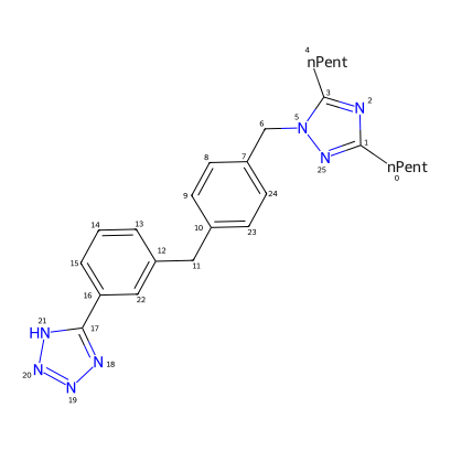 CCCCCc1nc(CCCCC)n(Cc2ccc(Cc3cccc(-c4nnn[nH]4)c3)cc2)n1